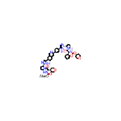 COC(=O)N[C@H](C(=O)N1CCC[C@H]1c1ncc(-c2ccc3cc(-c4ccc(-c5cnc([C@@H]6CCCN6C(=O)[C@H](NC(=O)OC6CCOCC6)c6ccccc6)[nH]5)cc4)ncc3c2)[nH]1)C1CCOCC1